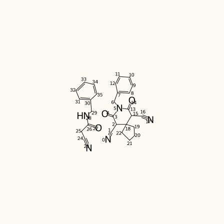 N#CC1C(=O)N(Cc2ccccc2)C(=O)C(C#N)C12CCCC2.N#CCC(=O)NCc1ccccc1